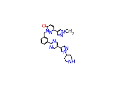 Cn1cc(-c2ccc(=O)n(Cc3cccc(-c4ncc(-c5cnn(C6CCNCC6)c5)cn4)c3)n2)cn1